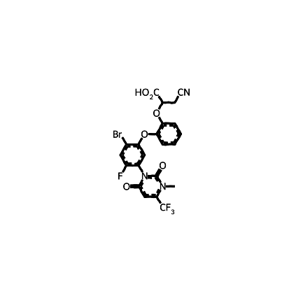 Cn1c(C(F)(F)F)cc(=O)n(-c2cc(Oc3ccccc3OC(CC#N)C(=O)O)c(Br)cc2F)c1=O